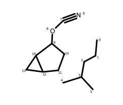 CCCC(C)C.N#COC1CCC2CC21